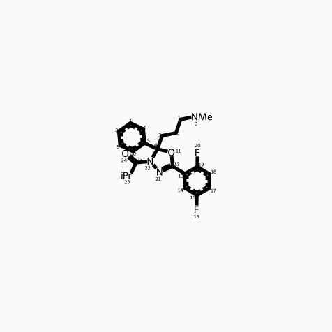 CNCCCC1(c2ccccc2)OC(c2cc(F)ccc2F)=NN1C(=O)C(C)C